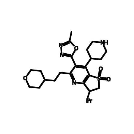 Cc1nnc(-c2c(CCC3CCOCC3)nc3c(c2C2CCNCC2)S(=O)(=O)CC3C(C)C)o1